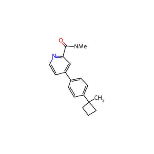 CNC(=O)c1cc(-c2ccc(C3(C)CCC3)cc2)ccn1